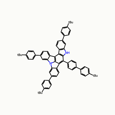 CC(C)(C)c1ccc(-c2ccc(-c3c4[nH]c5cc(-c6ccc(C(C)(C)C)cc6)ccc5c4c4c5ccc(-c6ccc(C(C)(C)C)cc6)cc5n5c6cc(-c7ccc(C(C)(C)C)cc7)ccc6c3c45)cc2)cc1